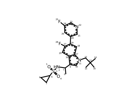 CC(NS(=O)(=O)C1CC1)c1cn(CC(C)(C)C)c2cc(-c3cncc(F)c3)c(F)cc12